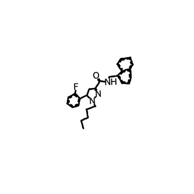 CCCCCN1N=C(C(=O)NCc2cccc3ccccc23)CC1c1ccccc1F